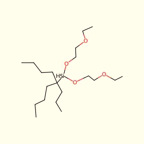 CCCCC(CCC)(CCCC)[SiH](OCCOCC)OCCOCC